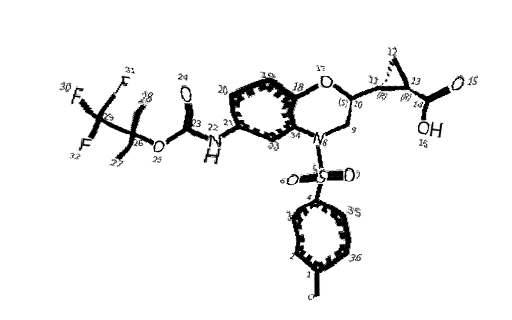 Cc1ccc(S(=O)(=O)N2C[C@H]([C@@H]3C[C@H]3C(=O)O)Oc3ccc(NC(=O)OC(C)(C)C(F)(F)F)cc32)cc1